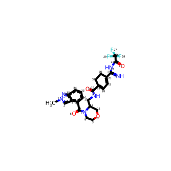 Cn1cc2c(C(=O)N3CCOCC3CNC(=O)C3=CC=C(C(=N)NC(=O)C(F)(F)F)CC3)cccc2n1